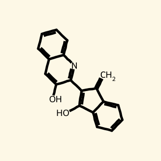 C=C1C(c2nc3ccccc3cc2O)=C(O)c2ccccc21